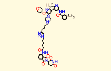 Cc1ncc(NC(=O)c2cccc(C(F)(F)F)c2)cc1-c1cnc(OC2CCOCC2)c(N2CCN(CCCCc3cn(CCCCCC(=O)Nc4cccc5c4C(=O)N(C4CCC(=O)NC4=O)C5=O)nn3)CC2)c1